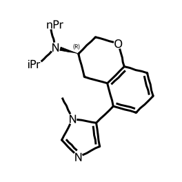 CCCN(C(C)C)[C@H]1COc2cccc(-c3cncn3C)c2C1